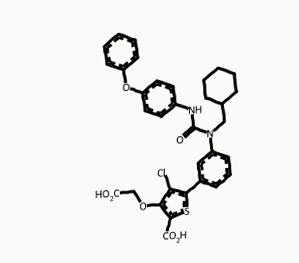 O=C(O)COc1c(C(=O)O)sc(-c2cccc(N(CC3CCCCC3)C(=O)Nc3ccc(Oc4ccccc4)cc3)c2)c1Cl